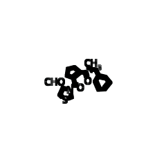 CN(Cc1ccccc1)C(=O)C1=C(C(=O)N2CSC[C@H]2C=O)CCC1